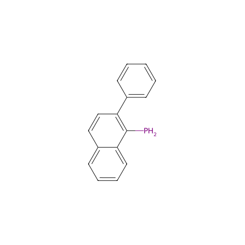 Pc1c(-c2ccccc2)ccc2ccccc12